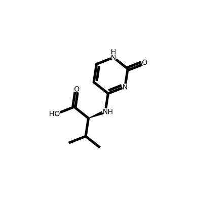 CC(C)[C@H](Nc1cc[nH]c(=O)n1)C(=O)O